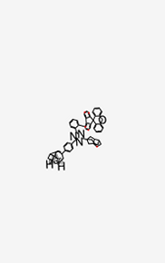 c1ccc2c(c1)Oc1ccccc1C21c2ccccc2-c2c(-c3ccccc3-c3nc(-c4ccc(C56CC7C[C@H]8C[C@H](C5)C[C@@]78C6)cc4)nc(C45CC6CC7CC6(C4)C7C5)n3)cccc21